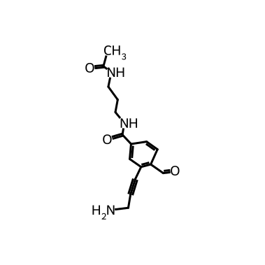 CC(=O)NCCCNC(=O)c1ccc(C=O)c(C#CCN)c1